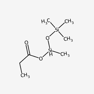 CCC(=O)O[SiH](C)O[Si](C)(C)C